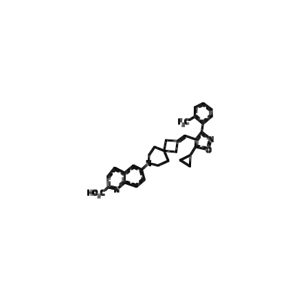 O=C(O)c1ccc2cc(N3CCC4(CC3)CC(=Cc3c(-c5ccccc5C(F)(F)F)noc3C3CC3)C4)ccc2n1